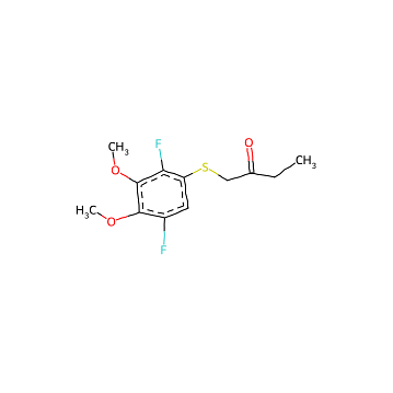 CCC(=O)CSc1cc(F)c(OC)c(OC)c1F